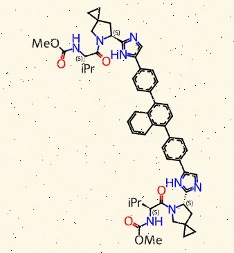 COC(=O)N[C@H](C(=O)N1CC2(CC2)C[C@H]1c1ncc(-c2ccc(-c3ccc(-c4ccc(-c5cnc([C@@H]6CC7(CC7)CN6C(=O)[C@@H](NC(=O)OC)C(C)C)[nH]5)cc4)c4c3C=C=C=C4)cc2)[nH]1)C(C)C